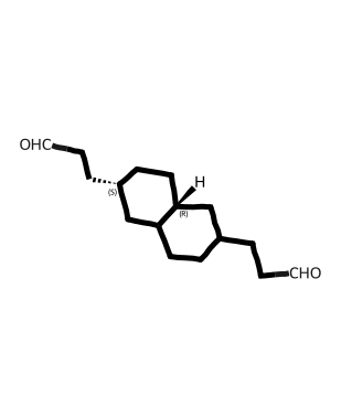 O=CCCC1CCC2C[C@H](CCC=O)CC[C@@H]2C1